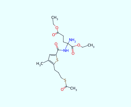 CCOC(=O)CCC(N)(NC(=O)c1cc(C)c(CCCSC(C)=O)s1)C(=O)OCC